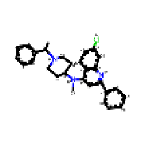 CC(c1ccccc1)N1CCC(N(C)c2cc(-c3ccccc3)nc3cc(Cl)ccc23)CC1